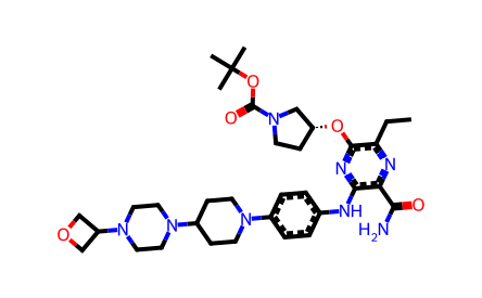 CCc1nc(C(N)=O)c(Nc2ccc(N3CCC(N4CCN(C5COC5)CC4)CC3)cc2)nc1O[C@@H]1CCN(C(=O)OC(C)(C)C)C1